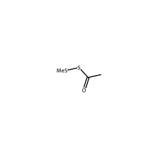 CSSC(C)=O